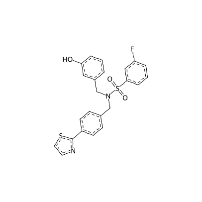 O=S(=O)(c1cccc(F)c1)N(Cc1ccc(-c2nccs2)cc1)Cc1cccc(O)c1